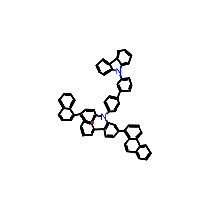 c1ccc(-c2ccc(-c3cccc4c3ccc3ccccc34)cc2N(c2ccc(-c3cccc(-n4c5ccccc5c5ccccc54)c3)cc2)c2ccc(-c3cccc4ccccc34)cc2)cc1